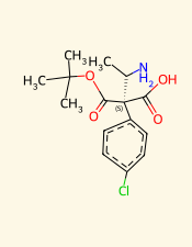 CC(N)[C@@](C(=O)O)(C(=O)OC(C)(C)C)c1ccc(Cl)cc1